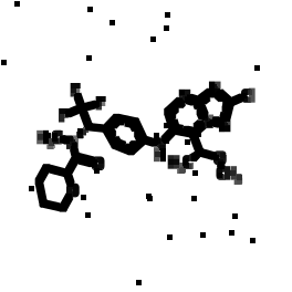 CO[C@@H](C)c1c(Nc2ccc([C@H](N(C)C(=O)C3CCCCO3)C(F)(F)F)cc2)cnc2nc(Cl)nn12